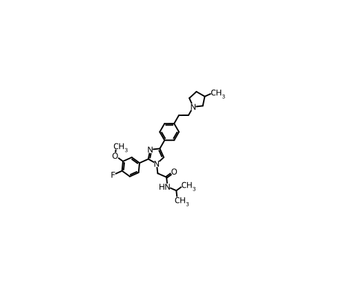 COc1cc(-c2nc(-c3ccc(CCN4CCC(C)C4)cc3)cn2CC(=O)NC(C)C)ccc1F